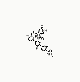 CC1CN(c2cc(F)c(-c3ccc(C(N)=O)c(F)c3)cc2NC(=O)c2c[nH]c(=O)cc2C(F)F)CCN1C